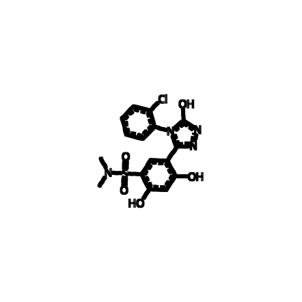 CN(C)S(=O)(=O)c1cc(-c2nnc(O)n2-c2ccccc2Cl)c(O)cc1O